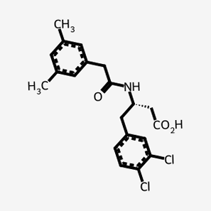 Cc1cc(C)cc(CC(=O)N[C@H](CC(=O)O)Cc2ccc(Cl)c(Cl)c2)c1